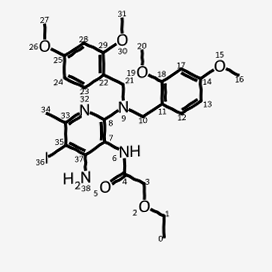 CCOCC(=O)Nc1c(N(Cc2ccc(OC)cc2OC)Cc2ccc(OC)cc2OC)nc(C)c(I)c1N